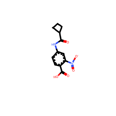 O=C(O)c1ccc(NC(=O)C2CCC2)cc1[N+](=O)[O-]